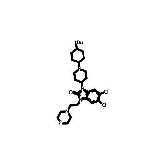 CC(C)(C)C1CCC(N2CCC(n3c(=O)n(CCN4CCOCC4)c4cc(Cl)c(Cl)cc43)CC2)CC1